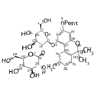 CCCCCc1cc(O[C@@H]2O[C@H](CO)[C@@H](O)[C@H](O)[C@H]2O[C@@H]2O[C@H](CO)[C@@H](O)[C@H](O)[C@H]2O)c2c(c1)OC(C)(C)c1ccc(C)cc1-2